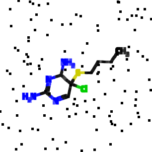 CCCCSC1(Cl)C=NC(N)=NC1N